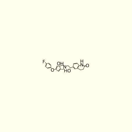 O=C1CCc2cc([C@H](O)CN3CC4=CC(Oc5ccc(F)cc5)=C[C@@]4(O)C3)ccc2N1